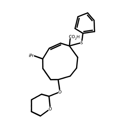 CC(C)C1C=CC(Sc2ccccc2)(C(=O)O)CCCC(OC2CCCCO2)CC1